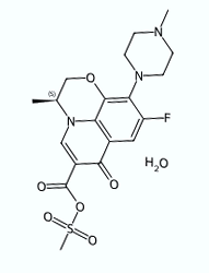 C[C@H]1COc2c(N3CCN(C)CC3)c(F)cc3c(=O)c(C(=O)OS(C)(=O)=O)cn1c23.O